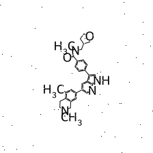 Cc1cc(-c2cnc3[nH]cc(-c4ccc(C(=O)N(C)CC5CCOC5)cc4)c3c2)cc2c1CCN(C)C2